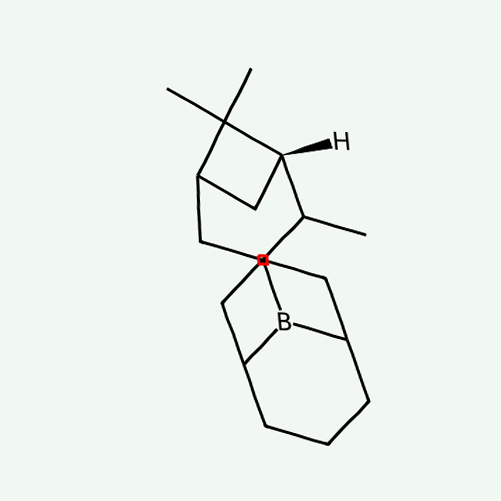 CC1C(B2C3CCCC2CCC3)CC2C[C@@H]1C2(C)C